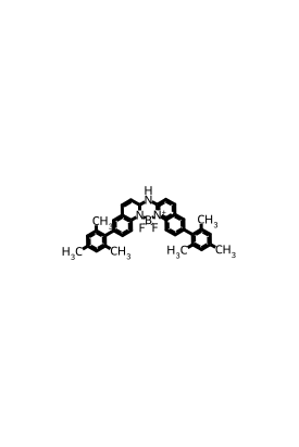 Cc1cc(C)c(-c2ccc3c(c2)C=CC2Nc4ccc5cc(-c6c(C)cc(C)cc6C)ccc5[n+]4[B-](F)(F)N32)c(C)c1